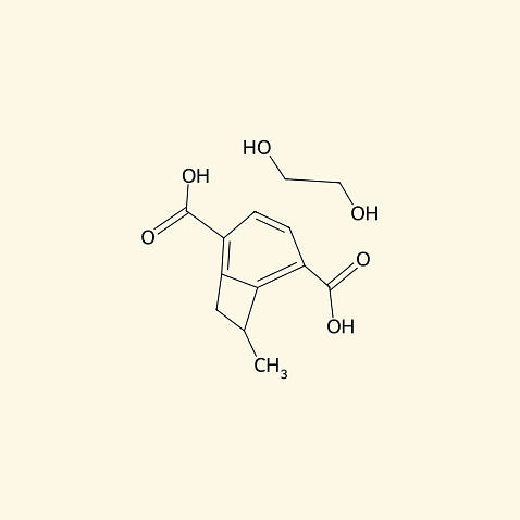 CC1Cc2c(C(=O)O)ccc(C(=O)O)c21.OCCO